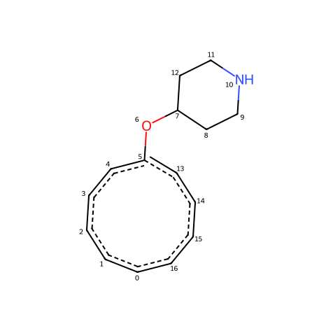 c1ccccc(OC2CCNCC2)cccc1